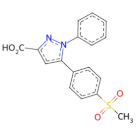 CS(=O)(=O)c1ccc(-c2cc(C(=O)O)nn2-c2ccccc2)cc1